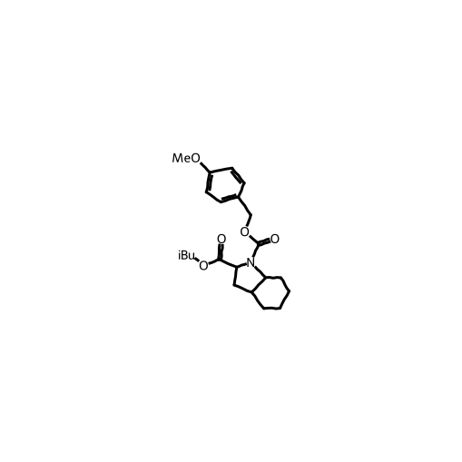 CCC(C)OC(=O)C1CC2CCCCC2N1C(=O)OCc1ccc(OC)cc1